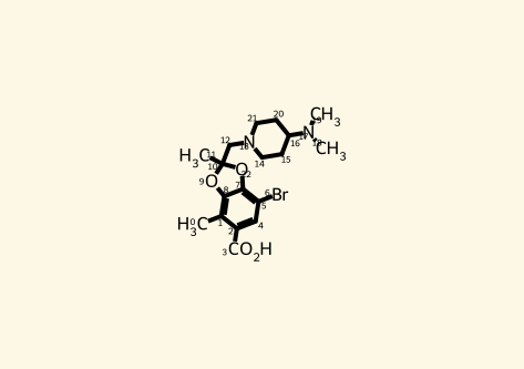 Cc1c(C(=O)O)cc(Br)c2c1OC(C)(CN1CCC(N(C)C)CC1)O2